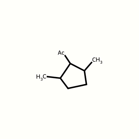 CC(=O)C1C(C)CCC1C